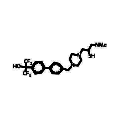 CNCC(S)CN1CCN(Cc2ccc(-c3ccc(C(O)(C(F)(F)F)C(F)(F)F)cc3)cc2)CC1